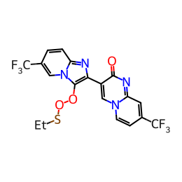 CCSOOc1c(-c2cn3ccc(C(F)(F)F)cc3nc2=O)nc2ccc(C(F)(F)F)cn12